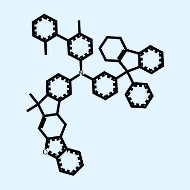 Cc1ccccc1-c1cc(N(c2cccc(C3(c4ccccc4)C4=C(CCCC4)c4ccccc43)c2)c2ccc3c(c2)C2Cc4c(oc5ccccc45)C=C2C3(C)C)ccc1C